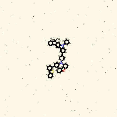 CC1(C)c2ccccc2-c2cc3c4cc(C5=CCC(N(c6ccc(-c7cccc8c7sc7ccccc78)cc6)c6cccc7oc8ccccc8c67)C=C5)ccc4n(-c4ccccc4)c3cc21